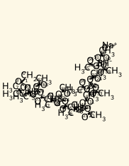 C=CC(=O)OC(C)(C)C.CC(=O)O[BH-](OC(C)=O)OC(C)=O.CC(=O)O[BH-](OC(C)=O)OC(C)=O.CC(=O)O[BH-](OC(C)=O)OC(C)=O.CC(=O)O[BH-](OC(C)=O)OC(C)=O.CC(=O)O[BH-](OC(C)=O)OC(C)=O.[C+4].[Na+]